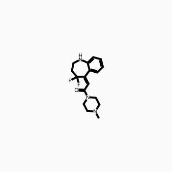 CN1CCN(C(=O)C=C2c3ccccc3NCCC2(F)F)CC1